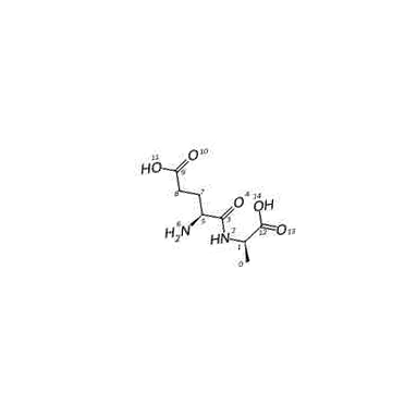 C[C@@H](NC(=O)[C@@H](N)CCC(=O)O)C(=O)O